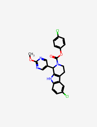 COc1ncc(C2c3[nH]c4ccc(Cl)cc4c3CCN2C(=O)Oc2ccc(Cl)cc2)cn1